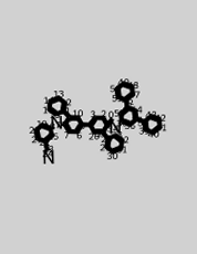 CC12CC=C(c3ccc4c(c3)c3ccccc3n4-c3cccc(C#N)c3)C=C1c1ccccc1N2c1cc(-c2ccccc2)cc(-c2ccccc2)c1